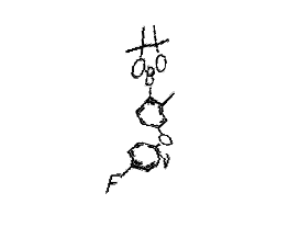 Cc1cc(Oc2ccc(F)cn2)ccc1B1OC(C)(C)C(C)(C)O1